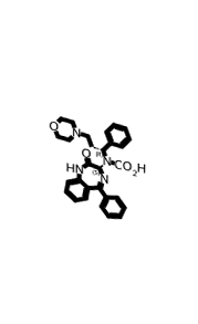 O=C1Nc2ccccc2C(c2ccccc2)=N[C@H]1N(C(=O)O)[C@H](CCN1CCOCC1)c1ccccc1